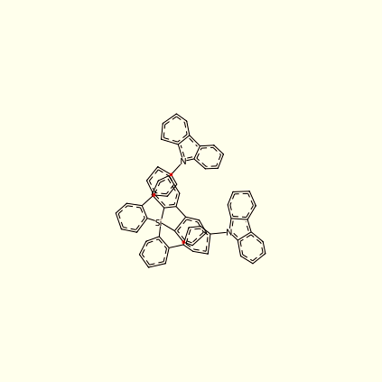 c1ccc([Si]2(c3ccccc3-c3ccc(-n4c5ccccc5c5ccccc54)cc3)c3ccccc3-c3ccccc32)c(-c2ccc(-n3c4ccccc4c4ccccc43)cc2)c1